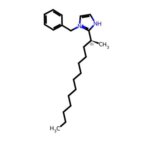 CCCCCCCCCCC[C@H](C)c1[nH]cc[n+]1Cc1ccccc1